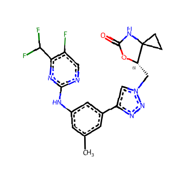 Cc1cc(Nc2ncc(F)c(C(F)F)n2)cc(-c2cn(C[C@@H]3OC(=O)NC34CC4)nn2)c1